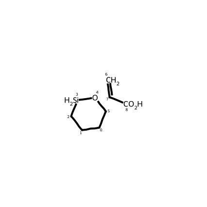 C1CC[SiH2]OC1.C=CC(=O)O